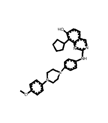 COc1ccc(N2CCN(c3ccc(Nc4ncc5ccc(O)c(C6CCCC6)c5n4)cc3)CC2)cc1